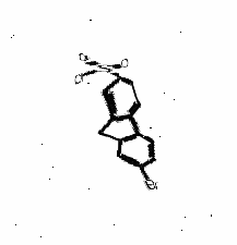 O=S(=O)(Cl)c1ccc2c(c1)Cc1cc(Br)ccc1-2